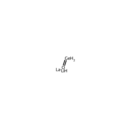 [La].[LiH].[O]=[GeH2]